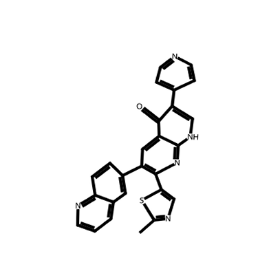 Cc1ncc(-c2nc3[nH]cc(-c4ccncc4)c(=O)c3cc2-c2ccc3ncccc3c2)s1